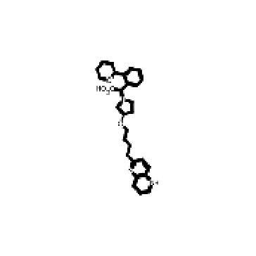 O=C(O)C(c1ccccc1C1CCCCO1)N1CC[C@@H](OCCCCc2ccc3c(n2)CCCN3)C1